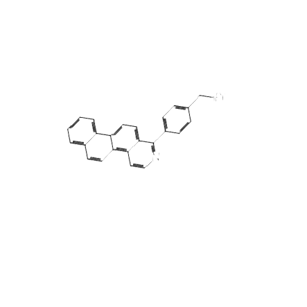 CC(C)Cc1ccc(-c2nccc3c2ccc2c4ccccc4ccc32)cc1